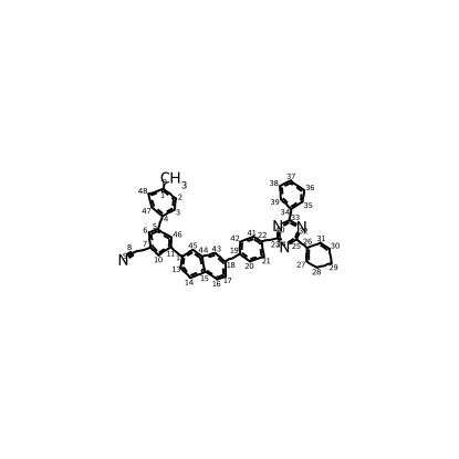 Cc1ccc(-c2cc(C#N)cc(-c3ccc4ccc(-c5ccc(-c6nc(C7=CCCC=C7)nc(-c7ccccc7)n6)cc5)cc4c3)c2)cc1